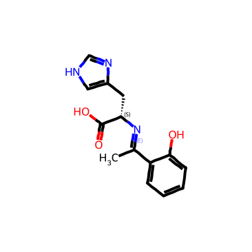 C/C(=N\[C@@H](Cc1c[nH]cn1)C(=O)O)c1ccccc1O